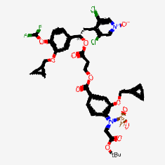 CC(C)(C)OC(=O)CN(c1ccc(C(=O)OCCC(=O)O[C@@H](Cc2c(Cl)c[n+]([O-])cc2Cl)c2ccc(OC(F)F)c(OCC3CC3)c2)cc1OCC1CC1)[SH](=O)=O